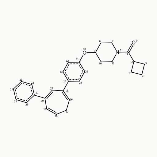 O=C(C1CCC1)N1CCC(Oc2ccc(C3=CCC=CC(c4ccccc4)=C3)cc2)CC1